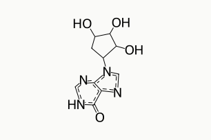 O=c1[nH]cnc2c1ncn2C1CC(O)C(O)C1O